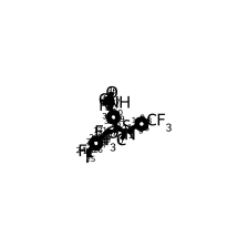 Cc1nc(-c2ccc(C(F)(F)F)cc2)sc1C(OCC(F)(F)c1ccc(C(F)F)cc1)c1ccc(-c2noc(=O)[nH]2)cc1